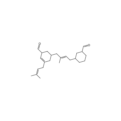 CC(C)=CCC1=CC(C=O)CC(C/C(C)=C/CC2CCCC(C=O)C2)C1